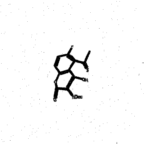 CCCCCCCCCCc1c(O)c2c(C(C)=S)c(F)ccc2oc1=O